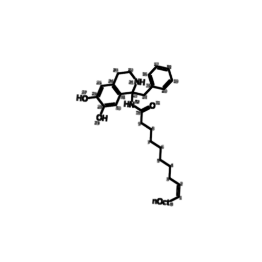 CCCCCCCC/C=C\CCCCCCCC(=O)NC1(Cc2ccccc2)NCCc2cc(O)c(O)cc21